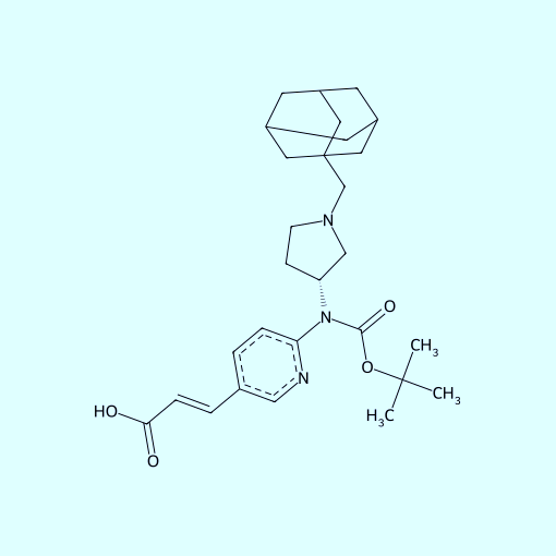 CC(C)(C)OC(=O)N(c1ccc(C=CC(=O)O)cn1)[C@@H]1CCN(CC23CC4CC(CC(C4)C2)C3)C1